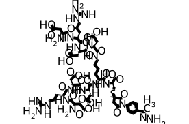 C/C(=N\N)c1ccc(N2C(=O)CC(SC[C@@H](NC(=O)C(CCCCNC(=O)[C@H](CC(=O)O)NC(=O)[C@H](CC(=O)O)NC(=O)[C@H](CCCNC(=N)N)NC(=O)[C@@H](N)CC(=O)O)NC(=O)[C@H](CC(=O)O)NC(=O)[C@H](CC(=O)O)NC(=O)[C@H](CCCNC(=N)N)NC(=O)[C@@H](N)CC(=O)O)C(=O)O)C2=O)cc1